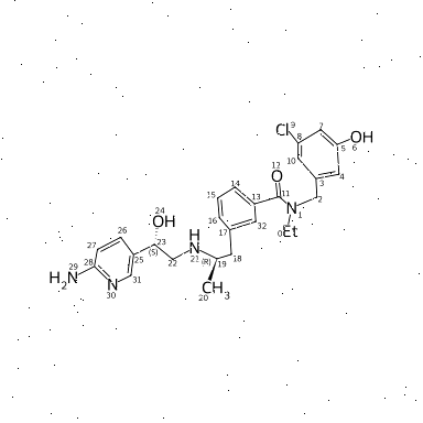 CCN(Cc1cc(O)cc(Cl)c1)C(=O)c1cccc(C[C@@H](C)NC[C@@H](O)c2ccc(N)nc2)c1